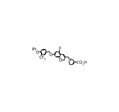 CC(C)Oc1ccc(COc2cc(F)c3c(c2)OCC(CN2CCC=C(C(=O)O)C2)=C3)cc1C(F)(F)F